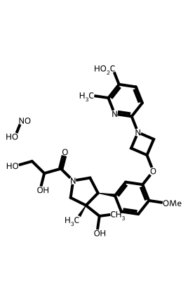 COc1ccc([C@@H]2CN(C(=O)C(O)CO)C[C@@]2(C)C(C)O)cc1OC1CN(c2ccc(C(=O)O)c(C)n2)C1.O=NO